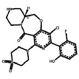 O=C1c2c(N3CCS(=O)(=O)CC3)nc(-c3c(O)cccc3F)c(Cl)c2OC[C@H]2CNCCN12